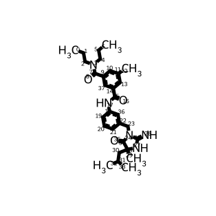 CCCN(CCC)C(=O)c1cc(C)cc(C(=O)Nc2cccc(CN3C(=N)NC(C)(CC(C)C)C3=O)c2)c1